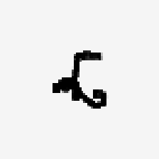 CC/C=C\C/C=C\C/C=C\CCCCCCCC(=O)OC[C@H](COP(=O)([O-])OCC[N+](C)(C)C)OC(=O)CCCCCCCCC/C=C\CCCCCC